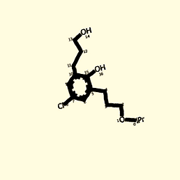 CC(C)OCCCc1cc(Cl)cc(CCCO)c1O